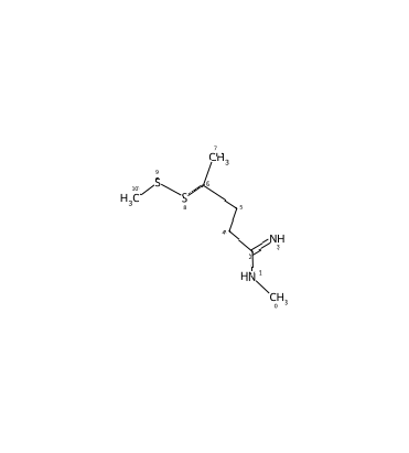 CNC(=N)CCC(C)SSC